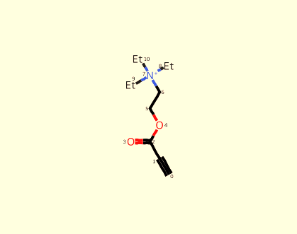 C#CC(=O)OCC[N+](CC)(CC)CC